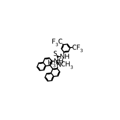 CN(C)c1ccc2ccccc2c1-c1c(NC(=S)Nc2cc(C(F)(F)F)cc(C(F)(F)F)c2)ccc2ccccc12